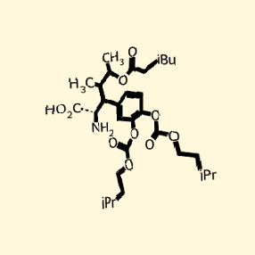 CCC(C)CC(=O)OC(C)C(C)C(c1ccc(OC(=O)OCCC(C)C)c(OC(=O)OCCC(C)C)c1)[C@H](N)C(=O)O